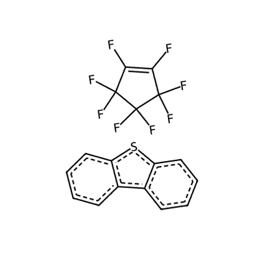 FC1=C(F)C(F)(F)C(F)(F)C1(F)F.c1ccc2c(c1)sc1ccccc12